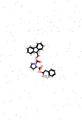 O=C(O)C(Cc1ccccc1)OC(=O)[C@@H]1CCCN1C(=O)OCC1c2ccccc2-c2ccccc21